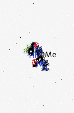 C=CC(=O)Nc1cc(Nc2cc(N3OCCC3c3cccc(F)c3F)ncn2)c(OC)cc1N1CCC(N(C)C)C1